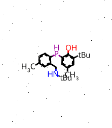 Cc1ccc(Pc2cc(C)cc(C(C)(C)C)c2O)c(CNC(C)(C)C)c1